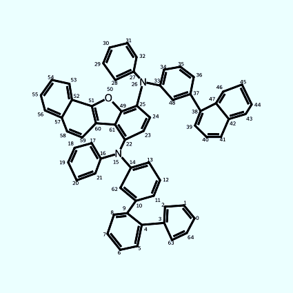 c1ccc(-c2ccccc2-c2cccc(N(c3ccccc3)c3ccc(N(c4ccccc4)c4cccc(-c5cccc6ccccc56)c4)c4oc5c6ccccc6ccc5c34)c2)cc1